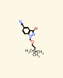 C[Si](C)(C)CCOCn1nc(Br)c2cc(C#N)ccc21